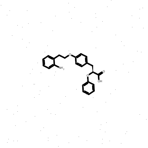 Nc1ccccc1CCOc1ccc(C[C@H](Oc2ccccc2)C(=O)O)cc1